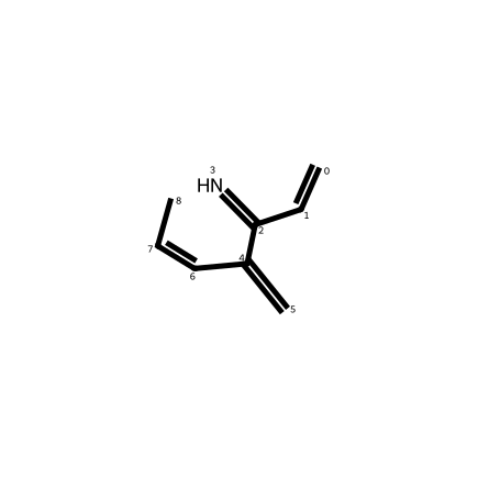 C=CC(=N)C(=C)/C=C\C